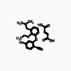 CCSc1c(CN(C)C)cccc1Oc1cc(Cl)ccc1C#N.O=C(O)C=CC(=O)O